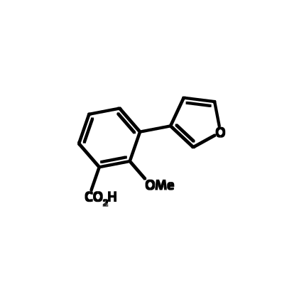 COc1c(C(=O)O)cccc1-c1ccoc1